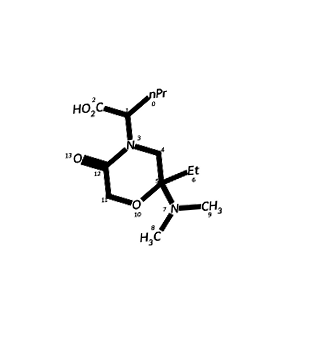 CCCC(C(=O)O)N1CC(CC)(N(C)C)OCC1=O